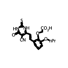 CCCOc1cccc(C=Cc2[nH]c(=S)[nH]c(=O)c2C#N)c1OCC(=O)O